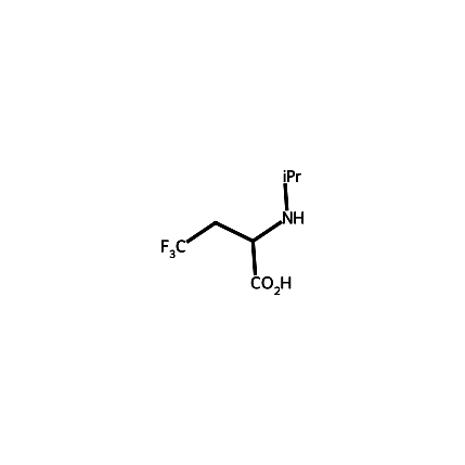 CC(C)NC(CC(F)(F)F)C(=O)O